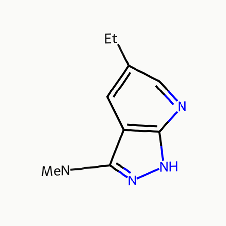 CCc1cnc2[nH]nc(NC)c2c1